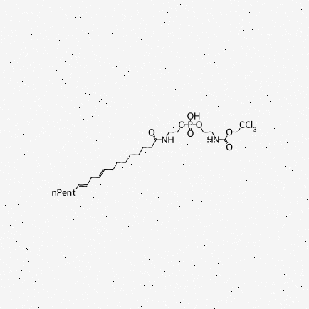 CCCCCC=CCC=CCCCCCCCC(=O)NCCOP(=O)(O)OCCNC(=O)OCC(Cl)(Cl)Cl